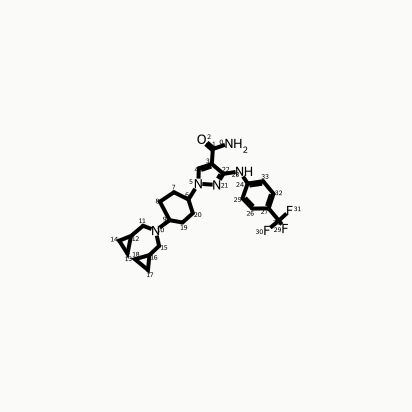 NC(=O)c1cn(C2CCC(N(CC3CC3)CC3CC3)CC2)nc1Nc1ccc(C(F)(F)F)cc1